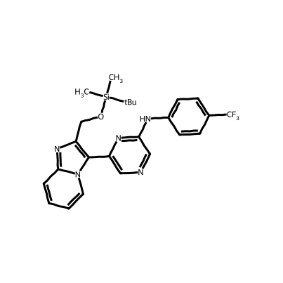 CC(C)(C)[Si](C)(C)OCc1nc2ccccn2c1-c1cncc(Nc2ccc(C(F)(F)F)cc2)n1